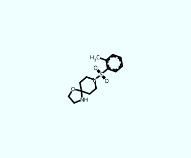 Cc1ccccc1S(=O)(=O)N1CCC2(CC1)NCCO2